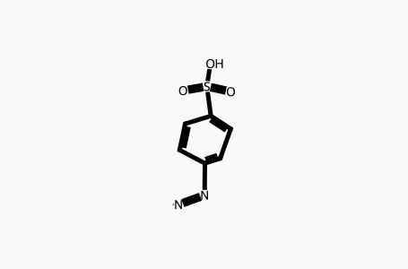 [N]=Nc1ccc(S(=O)(=O)O)cc1